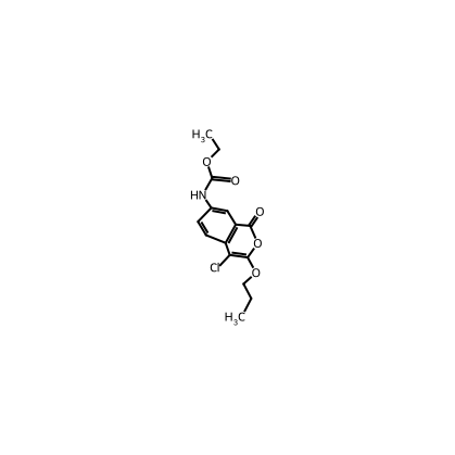 CCCOc1oc(=O)c2cc(NC(=O)OCC)ccc2c1Cl